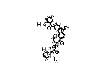 CCn1c2ccc(C(=O)c3ccccc3C)cc2c2c3c(ccc21)C(=O)/C(=N/OC(=O)C(C)(C)N1CCCCC1)CCO3